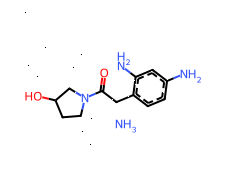 N.Nc1ccc(CC(=O)N2CCC(O)C2)c(N)c1